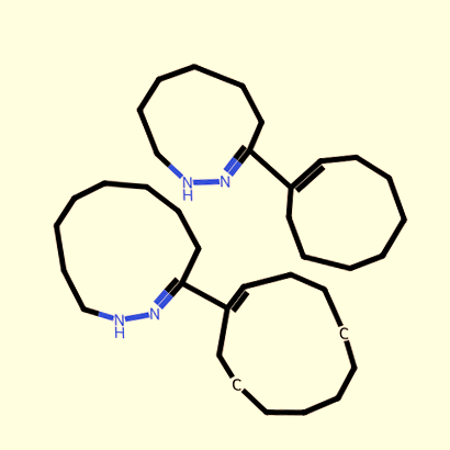 C1=C(C2=NNCCCCCC2)CCCCCCC1.C1=C(C2=NNCCCCCCCC2)CCCCCCCCC1